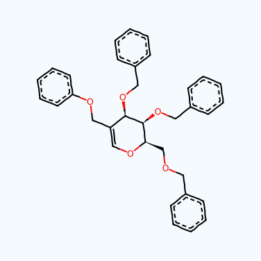 C1=C(COc2ccccc2)[C@@H](OCc2ccccc2)[C@@H](OCc2ccccc2)[C@@H](COCc2ccccc2)O1